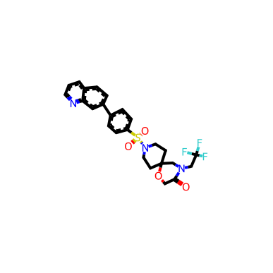 O=C1COC2(CCN(S(=O)(=O)c3ccc(-c4ccc5cccnc5c4)cc3)CC2)CN1CC(F)(F)F